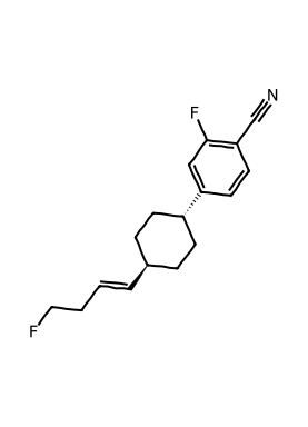 N#Cc1ccc([C@H]2CC[C@H](C=CCCF)CC2)cc1F